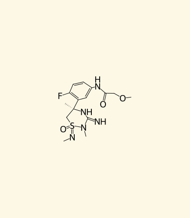 CN=S1(=O)C[C@@](C)(c2cc(NC(=O)COC)ccc2F)NC(=N)N1C